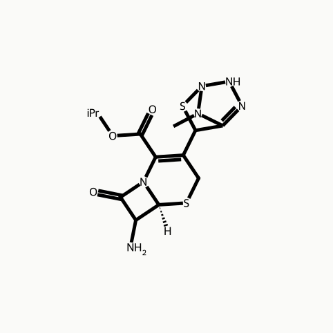 CC(C)OC(=O)C1=C(C2SN3NN=C2N3C)CS[C@H]2C(N)C(=O)N12